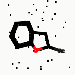 CC(=O)[C]1Cc2ccccc2O1